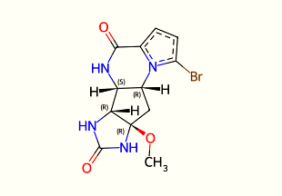 CO[C@]12C[C@@H]3[C@@H](NC(=O)c4ccc(Br)n43)[C@H]1NC(=O)N2